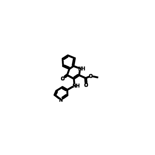 COC(=O)c1[nH]c2ccccc2c(=O)c1Nc1cccnc1